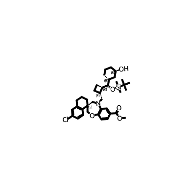 COC(=O)c1ccc2c(c1)N(C[C@@H]1CC[C@H]1[C@H](O[Si](C)(C)C(C)(C)C)[C@@H]1CCC[C@@H](O)C1)C[C@@]1(CCCc3cc(Cl)ccc31)CO2